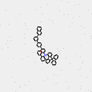 c1ccc(-c2ccccc2N(c2ccc(-c3ccc(-c4cccc(-c5ccc6ccccc6c5)c4)cc3)cc2)c2cccc3c2-c2ccccc2C3(c2ccccc2)c2ccccc2)cc1